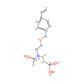 C=Cc1ccc(CSCCN(SCC(=O)O)C(C)=O)cc1